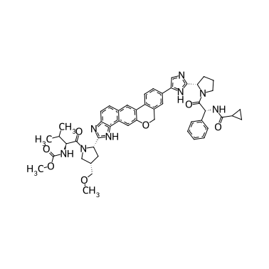 COC[C@H]1C[C@@H](c2nc3ccc4cc5c(cc4c3[nH]2)OCc2cc(-c3cnc([C@@H]4CCCN4C(=O)[C@H](NC(=O)C4CC4)c4ccccc4)[nH]3)ccc2-5)N(C(=O)[C@@H](NC(=O)OC)C(C)C)C1